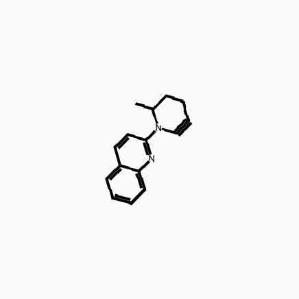 CC1CCC#CN1c1ccc2ccccc2n1